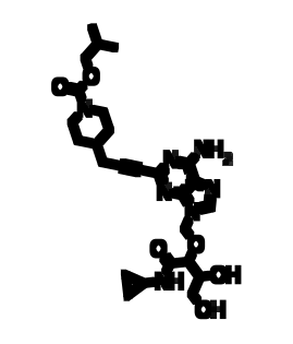 CC(C)COC(=O)N1CCC(CC#Cc2nc(N)c3ncn(COC(C(=O)NC4CC4)C(O)CO)c3n2)CC1